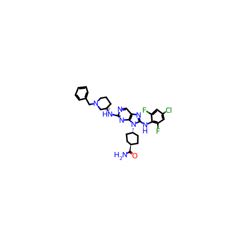 NC(=O)[C@H]1CC[C@H](n2c(Nc3c(F)cc(Cl)cc3F)nc3cnc(N[C@@H]4CCCN(Cc5ccccc5)C4)nc32)CC1